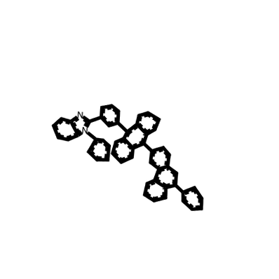 c1ccc(-c2cc3ccc(-c4c5ccccc5c(-c5cccc(-c6nc7ccccc7n6-c6ccccc6)c5)c5ccccc45)cc3c3ccccc23)cc1